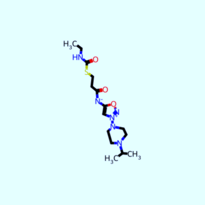 CCNC(=O)SCCC(=O)[N-]c1c[n+](N2CCN(C(C)C)CC2)no1